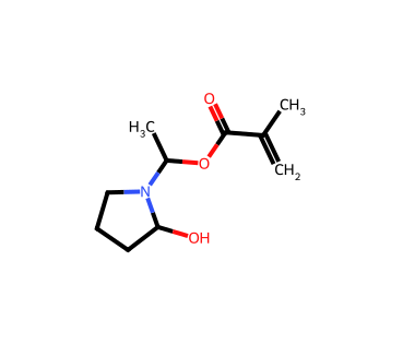 C=C(C)C(=O)OC(C)N1CCCC1O